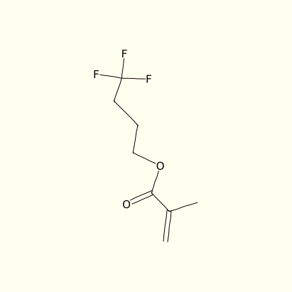 C=C(C)C(=O)OCCCC(F)(F)F